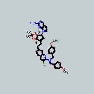 COc1ccc(CN(Cc2ccc(OC)cc2)c2nc3cc(CCC4=C[C@@H](n5ccc6cnc(N)nc65)[C@@H]5OC(C)(C)O[C@H]45)ccc3cc2Cl)cc1